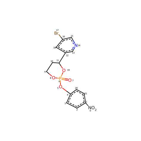 O=[N+]([O-])c1ccc(OP2(=O)OCCC(c3cncc(Br)c3)O2)cc1